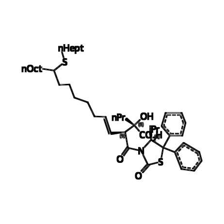 CCCCCCCCC(CCCCCC=C[C@H](C(=O)N1C(=O)SC(c2ccccc2)(c2ccccc2)[C@@H]1C(C)C)[C@@](O)(CCC)C(=O)O)SCCCCCCC